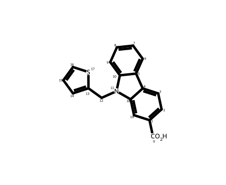 O=C(O)c1ccc2c3ccccc3n(Cc3cccs3)c2c1